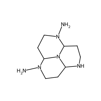 NN1CCC2NCCC3N(N)CCC1N23